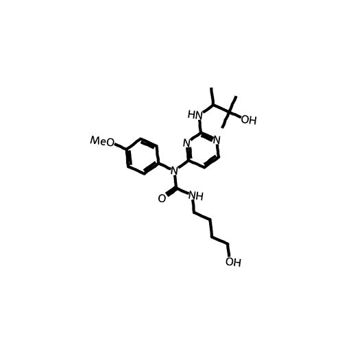 COc1ccc(N(C(=O)NCCCCO)c2ccnc(NC(C)C(C)(C)O)n2)cc1